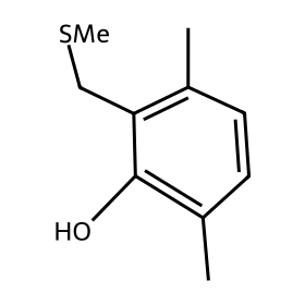 CSCc1c(C)ccc(C)c1O